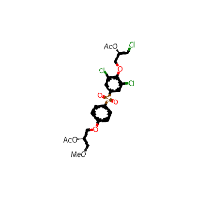 COC[C@@H](COc1ccc(S(=O)(=O)c2cc(Cl)c(OC[C@H](CCl)OC(C)=O)c(Cl)c2)cc1)OC(C)=O